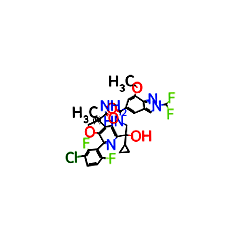 COc1cc(C(=O)NCC(O)(c2cc3c(c(-c4c(F)ccc(Cl)c4F)n2)OC[C@]3(C)C(N)=O)C2CC2)cc2cn(C(F)F)nc12